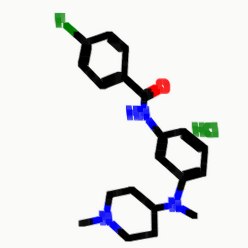 CN1CCC(N(C)c2cccc(NC(=O)c3ccc(F)cc3)c2)CC1.Cl